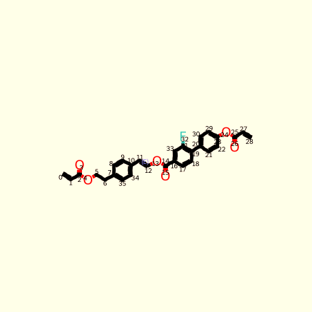 C=CC(=O)OCCc1ccc(/C=C/OC(=O)c2ccc(-c3ccc(OC(=O)C=C)cc3)c(F)c2)cc1